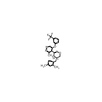 Cc1ccc(C[C@@H]2CON=C(c3c(Oc4cccc(C(F)(F)F)c4)cnnc3C)N2)c(C)c1